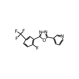 Fc1ccc(C(F)(F)F)cc1-c1nnc(-c2cccnc2)o1